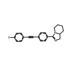 Fc1ccc(C#Cc2ccc(C3=NCC4CCCCN34)cc2)cc1